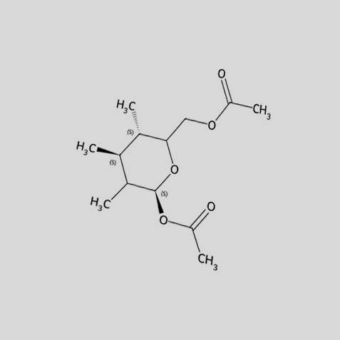 CC(=O)OCC1O[C@@H](OC(C)=O)C(C)[C@@H](C)[C@@H]1C